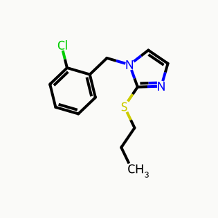 CCCSc1nccn1Cc1ccccc1Cl